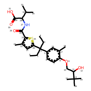 CCC(CC)(c1ccc(OCC(O)C(C)(C)C)c(C)c1)c1cc(C)c(C(=O)NC(C(=O)O)C(C)C)s1